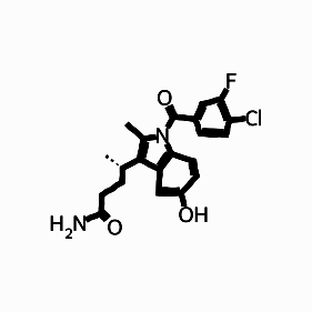 Cc1c([C@@H](C)CCC(N)=O)c2cc(O)ccc2n1C(=O)c1ccc(Cl)c(F)c1